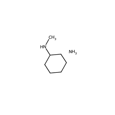 CNC1CCCCC1.N